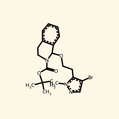 Cn1ncc(Br)c1CCOC1c2ccccc2CCN1C(=O)OC(C)(C)C